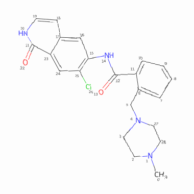 CN1CCN(Cc2ccccc2C(=O)Nc2cc3cc[nH]c(=O)c3cc2Cl)CC1